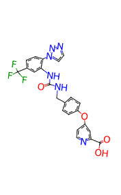 O=C(NCc1ccc(Oc2ccnc(C(=O)O)c2)cc1)Nc1cc(C(F)(F)F)ccc1-n1ccnn1